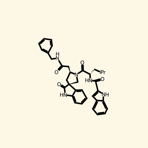 CC(C)C[C@H](NC(=O)c1cc2ccccc2[nH]1)C(=O)N1C[C@]2(C[C@H]1CC(=O)NCc1ccccc1)C(=O)Nc1ccccc12